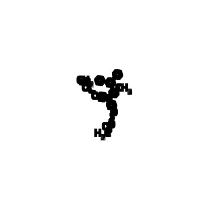 C=CC(=O)OCCCOc1ccc(N(c2ccc(OCCCOC(=O)C=C)cc2)c2ccc(C)c(-c3cc(-c4ccccc4)cc(-c4ccccc4)c3)c2)cc1